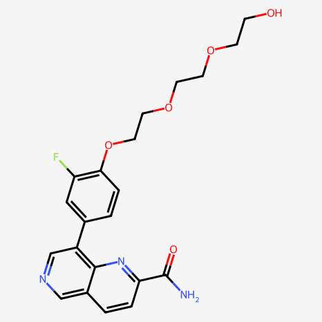 NC(=O)c1ccc2cncc(-c3ccc(OCCOCCOCCO)c(F)c3)c2n1